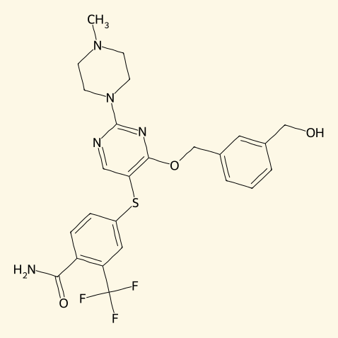 CN1CCN(c2ncc(Sc3ccc(C(N)=O)c(C(F)(F)F)c3)c(OCc3cccc(CO)c3)n2)CC1